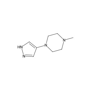 CN1CCN(c2cn[nH]c2)CC1